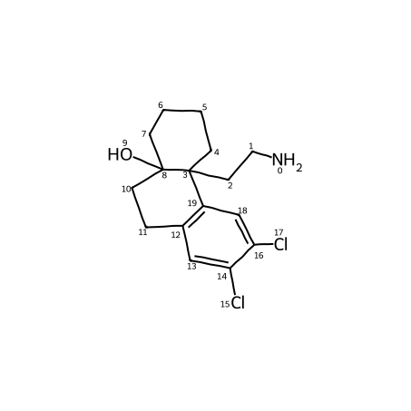 NCCC12CCCCC1(O)CCc1cc(Cl)c(Cl)cc12